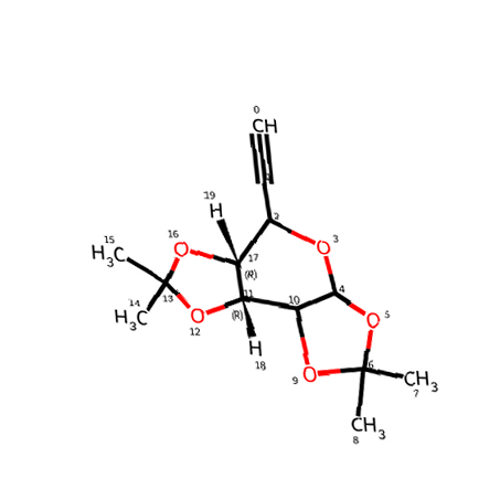 C#CC1OC2OC(C)(C)OC2[C@@H]2OC(C)(C)O[C@H]12